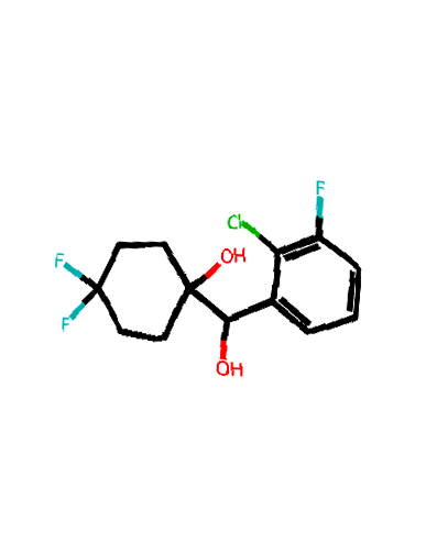 OC(c1cccc(F)c1Cl)C1(O)CCC(F)(F)CC1